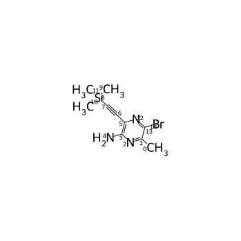 Cc1nc(N)c(C#C[Si](C)(C)C)nc1Br